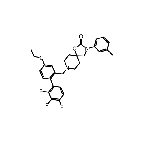 CCOc1ccc(-c2ccc(F)c(F)c2F)c(CN2CCC3(CC2)CN(c2cccc(C)c2)C(=O)O3)c1